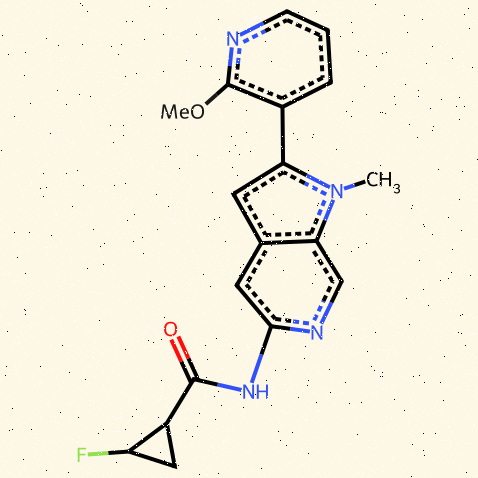 COc1ncccc1-c1cc2cc(NC(=O)C3CC3F)ncc2n1C